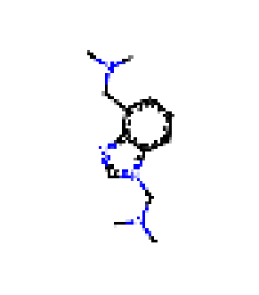 CN(C)Cc1cccc2c1ncn2CN(C)C